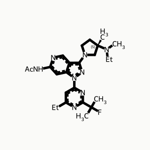 CCc1cc(-n2nc(N3CC[C@](C)(N(C)CC)C3)c3cnc(NC(C)=O)cc32)nc(C(C)(C)F)n1